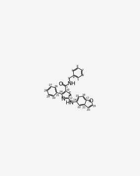 O=C(NCc1ccccc1)c1sc(Nc2ccc3occc3c2)nc1-c1ccccc1